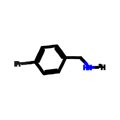 [3H]NCc1ccc(C(C)C)cc1